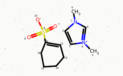 Cn1cc[n+](C)c1.O=S(=O)([O-])C1=CCCCC1